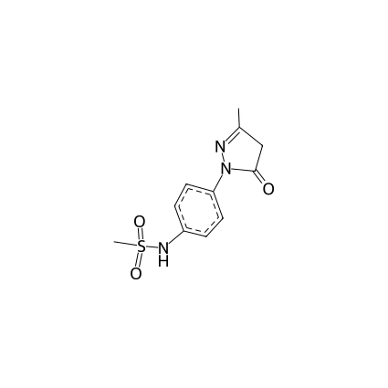 CC1=NN(c2ccc(NS(C)(=O)=O)cc2)C(=O)C1